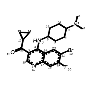 CN(C)C1CCC(Nc2c(C(=O)C3CC3)cnc3cc(F)c(Br)cc23)CC1